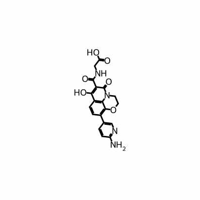 Nc1ccc(-c2ccc3c(O)c(C(=O)NCC(=O)O)c(=O)n4c3c2OCC4)cn1